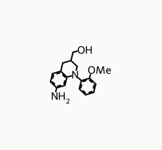 COc1ccccc1N1CC(CO)Cc2ccc(N)cc21